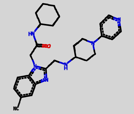 N#Cc1ccc2c(c1)nc(CNC1CCN(c3ccncc3)CC1)n2CC(=O)NC1CCCCC1